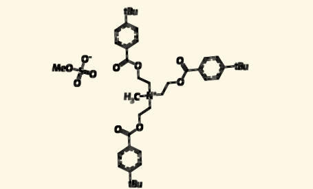 CC(C)(C)c1ccc(C(=O)OCC[N+](C)(CCOC(=O)c2ccc(C(C)(C)C)cc2)CCOC(=O)c2ccc(C(C)(C)C)cc2)cc1.COS(=O)(=O)[O-]